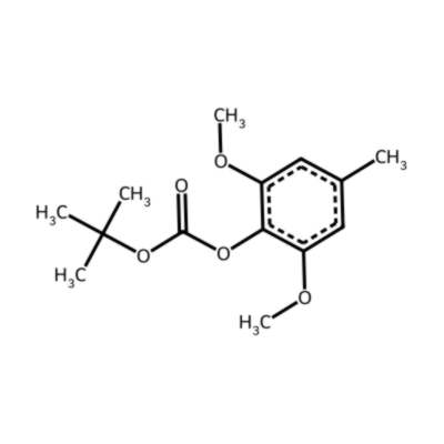 COc1cc(C)cc(OC)c1OC(=O)OC(C)(C)C